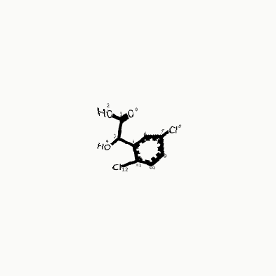 O=C(O)C(O)c1cc(Cl)ccc1Cl